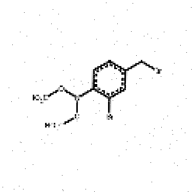 O=C(O)ON(OC(=O)O)c1ccc(CBr)cc1Br